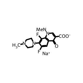 CNn1cc(C(=O)[O-])c(=O)c2cc(F)c(N3CCN(C)CC3)c(F)c21.[Na+]